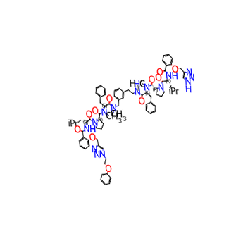 CC(C)C[C@@H](NC(=O)c1ccccc1OCc1c[nH]nn1)C(=O)N1CCC[C@@H]1C(=O)N(C)[C@@H](Cc1ccccc1)C(=O)NCCc1cccc(CN(C)C(=O)[C@H](Cc2ccccc2)N(C)C(=O)[C@H]2CCCN2C(=O)[C@@H](CC(C)C)NC(=O)c2ccccc2OCc2cn(CCOc3ccccc3)nn2)c1